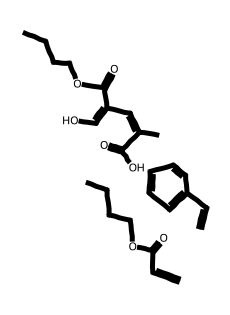 C=CC(=O)OCCCC.C=Cc1ccccc1.CCCCOC(=O)C(C=C(C)C(=O)O)=CO